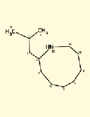 CC(C)CC1CCCCCCCN1